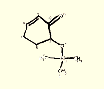 C[Si](C)(C)OC1CCC=CC1=O